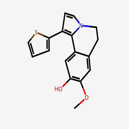 COc1cc2c(cc1O)-c1c(-c3cccs3)ccn1CC2